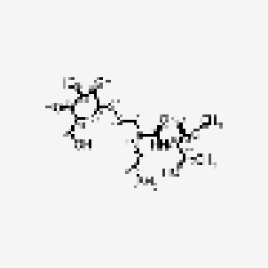 BO/C=N/[C@@H](CSSC1OC(CO)C(O)C(O)C1O)C(=O)N[C@H](C(=O)OC)[C@H](C)O